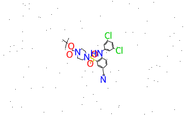 CC(C)(C)OC(=O)N1CCN(S(=O)(=O)c2cc(C#N)ccc2Nc2cc(Cl)cc(Cl)c2)CC1